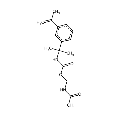 C=C(C)c1cccc(C(C)(C)NC(=O)OCNC(C)=O)c1